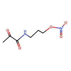 CC(=O)C(=O)NCCCO[N+](=O)[O-]